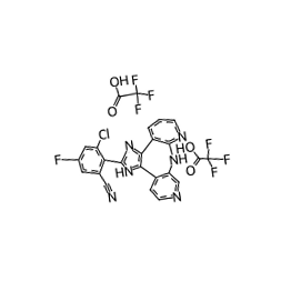 N#Cc1cc(F)cc(Cl)c1-c1nc2c([nH]1)-c1ccncc1Nc1ncccc1-2.O=C(O)C(F)(F)F.O=C(O)C(F)(F)F